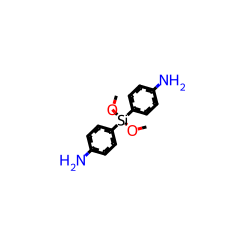 CO[Si](OC)(c1ccc(N)cc1)c1ccc(N)cc1